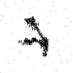 Cc1ncsc1-c1ccc([C@H](C)NC(=O)[C@@H]2C[C@@H](OC(=O)CCCCn3cc(CN[C@@H](CCC(N)=O)C(=O)O)nn3)CN2C(=O)[C@@H](NC(=O)CCCCCCCCCCNCCCONC(=O)c2ccc(F)c(F)c2Nc2ccc(I)cc2F)C(C)(C)C)cc1